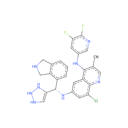 N#Cc1cnc2c(Cl)cc(N[C@H](C3=CNNN3)c3cccc4c3CNC4)cc2c1Nc1cnc(F)c(F)c1